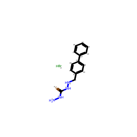 Br.NNC(=S)NNCc1ccc(-c2ccccc2)cc1